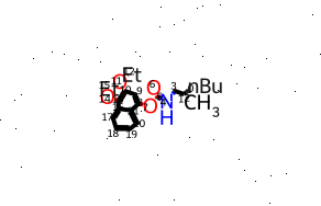 CCCCC(C)CNC(=O)Oc1cc(OCC)c(OCC)c2ccccc12